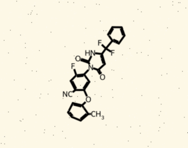 Cc1ccccc1Oc1cc(-n2c(=O)cc(C(F)(F)c3ccccc3)[nH]c2=O)c(F)cc1C#N